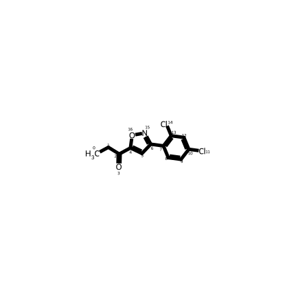 CCC(=O)c1cc(-c2ccc(Cl)cc2Cl)no1